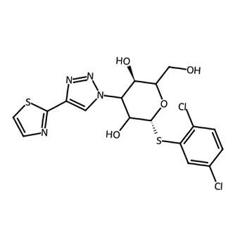 OCC1O[C@H](Sc2cc(Cl)ccc2Cl)C(O)C(n2cc(-c3nccs3)nn2)[C@H]1O